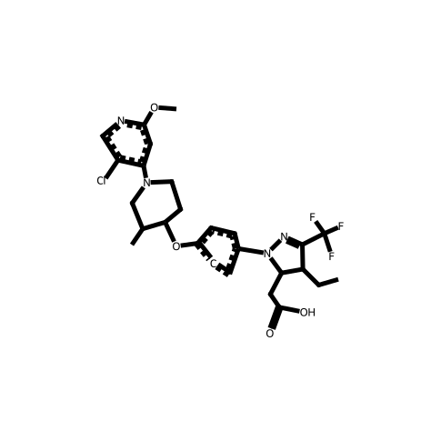 CCC1C(C(F)(F)F)=NN(c2ccc(OC3CCN(c4cc(OC)ncc4Cl)CC3C)cc2)C1CC(=O)O